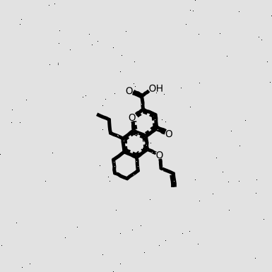 C=CCOc1c2c(c(CCC)c3oc(C(=O)O)cc(=O)c13)CCCC2